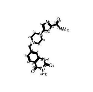 CCn1c(=O)[nH]c2cc(CN3CCN(c4cnc(C(=O)NC)s4)CC3)ccc2c1=O